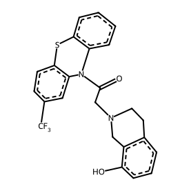 O=C(CN1CCc2cccc(O)c2C1)N1c2ccccc2Sc2ccc(C(F)(F)F)cc21